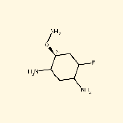 NO[C@H]1CC(F)C(N)CC1N